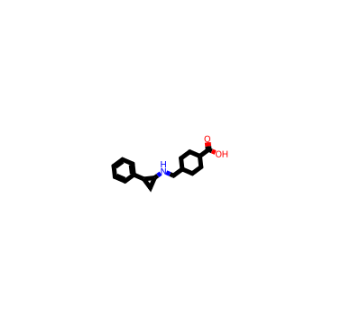 O=C(O)C1CCC(CNC2CC2c2ccccc2)CC1